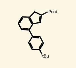 CCCC(C)C1=Cc2c(cccc2-c2ccc(C(C)(C)C)cc2)[CH]1